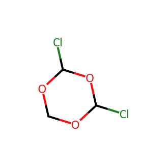 ClC1OCOC(Cl)O1